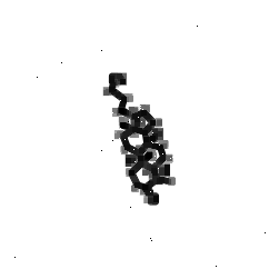 CN1C(=O)CC[C@]2(C)[C@H]3CC[C@]4(C)[C@@H](CCCC#N)CC[C@H]4[C@@H]3CC[C@@H]12